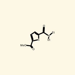 CCN(CC)C(=O)c1ccc(C(=O)OC)s1